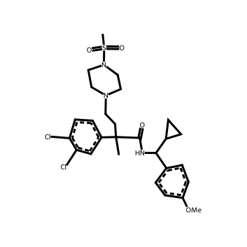 COc1ccc(C(NC(=O)C(C)(CCN2CCN(S(C)(=O)=O)CC2)c2ccc(Cl)c(Cl)c2)C2CC2)cc1